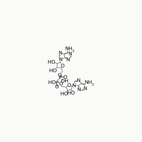 Nc1ncnc2c1ncn2C1OC(COP(=O)(O)CP(=O)(O)OCC2OC(n3cnc4c(N)ncnc43)C(O)C2O)C(O)C1O